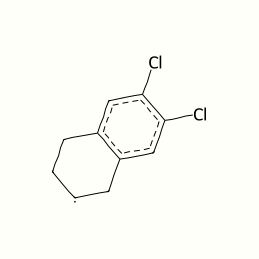 Clc1cc2c(cc1Cl)CC[CH]C2